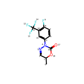 CC1C=NN(c2ccc(F)c(C(F)(F)F)c2)C(=O)O1